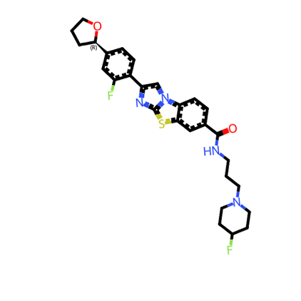 O=C(NCCCN1CCC(F)CC1)c1ccc2c(c1)sc1nc(-c3ccc([C@H]4CCCO4)cc3F)cn12